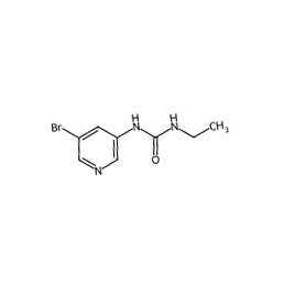 CCNC(=O)Nc1cncc(Br)c1